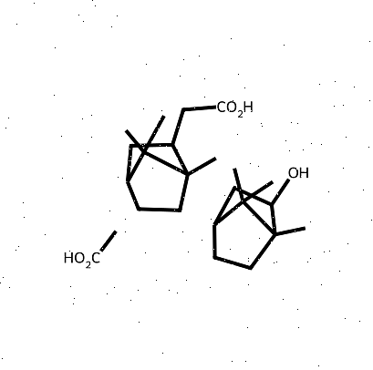 CC(=O)O.CC1(C)C2CCC1(C)C(CC(=O)O)C2.CC1(C)C2CCC1(C)C(O)C2